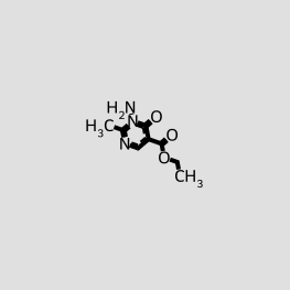 CCOC(=O)c1cnc(C)n(N)c1=O